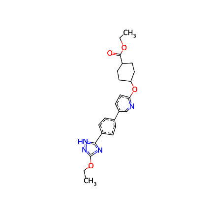 CCOC(=O)C1CCC(Oc2ccc(-c3ccc(-c4nc(OCC)n[nH]4)cc3)cn2)CC1